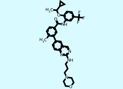 Cc1ccc(C(=O)Nc2cc(C(F)(F)F)ccc2OC(C)C2CC2)cc1-c1ccc2nc(NCCCN3CCOCC3)ncc2c1